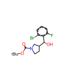 CC(C)(C)OC(=O)N1CCC(C(O)c2c(F)cccc2Br)C1